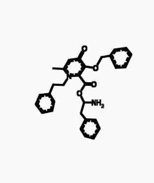 Cc1cc(=O)c(OCc2ccccc2)c(C(=O)OC(N)Cc2ccccc2)n1CCc1ccccc1